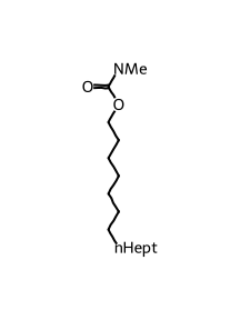 CCCCCCCCCCCCCCOC(=O)NC